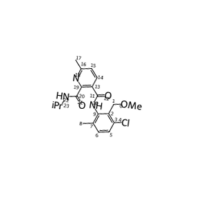 COCc1c(Cl)ccc(C)c1NC(=O)c1ccc(C)nc1C(=O)NC(C)C